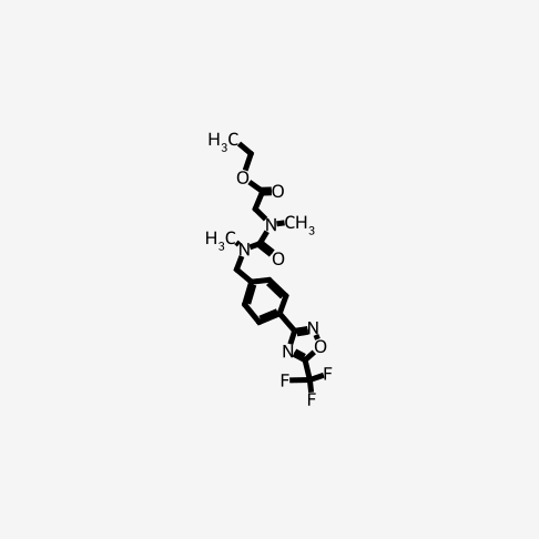 CCOC(=O)CN(C)C(=O)N(C)Cc1ccc(-c2noc(C(F)(F)F)n2)cc1